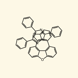 c1ccc(-c2nc(-c3ccccc3)nc(-c3cccc4oc5cccc(-c6cccc7oc(-c8ccccc8)nc67)c5c34)n2)cc1